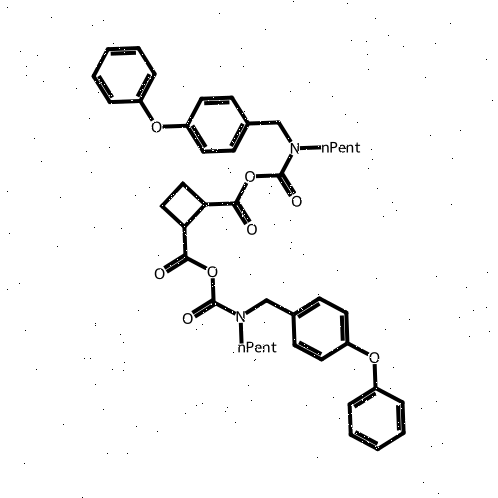 CCCCCN(Cc1ccc(Oc2ccccc2)cc1)C(=O)OC(=O)C1CCC1C(=O)OC(=O)N(CCCCC)Cc1ccc(Oc2ccccc2)cc1